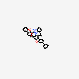 Cc1ccc2c(oc3ccccc32)c1-c1n(-c2c(C(C)C)cc3oc4cc(-c5ccccc5)ccc4c3c2C(C)C)c2ccccc2[n+]1C